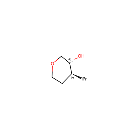 CC(C)[C@H]1CCOC[C@@H]1O